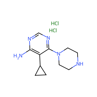 Cl.Cl.Nc1ncnc(N2CCNCC2)c1C1CC1